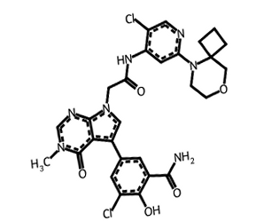 Cn1cnc2c(c(-c3cc(Cl)c(O)c(C(N)=O)c3)cn2CC(=O)Nc2cc(N3CCOCC34CCC4)ncc2Cl)c1=O